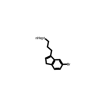 CCCCCCCCCCC1=CCc2ccc(Br)cc21